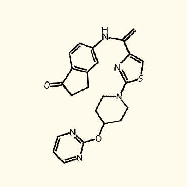 C=C(Nc1ccc2c(c1)CCC2=O)c1csc(N2CCC(Oc3ncccn3)CC2)n1